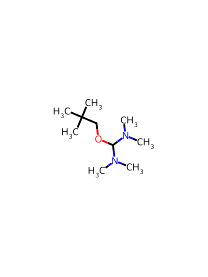 CN(C)C(OCC(C)(C)C)N(C)C